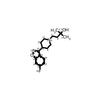 CC(C)(O)CCN1CCC(c2noc3cc(F)ccc23)CC1